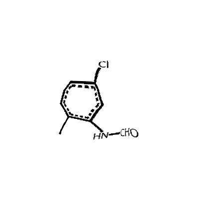 Cc1ccc(Cl)cc1NC=O